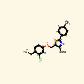 CCCCc1nc(-c2ccc(C(F)(F)F)cc2)sc1COc1ccc(CC#N)c(Cl)c1